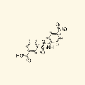 O=C(O)c1cccc(S(=O)(=O)Nc2ccc([N+](=O)[O-])cc2)c1